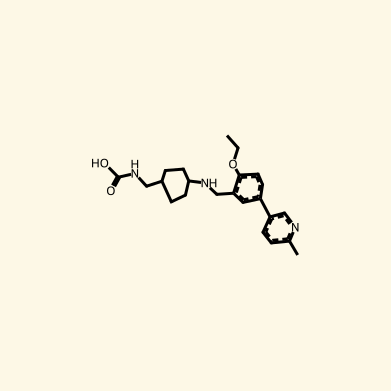 CCOc1ccc(-c2ccc(C)nc2)cc1CNC1CCC(CNC(=O)O)CC1